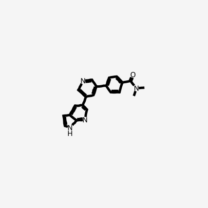 CN(C)C(=O)c1ccc(-c2cncc(-c3cnc4[nH]ccc4c3)c2)cc1